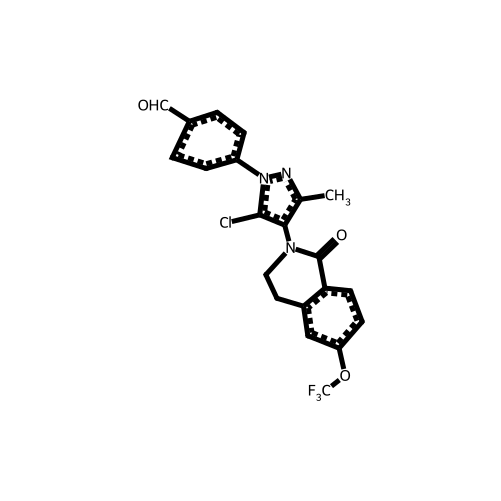 Cc1nn(-c2ccc(C=O)cc2)c(Cl)c1N1CCc2cc(OC(F)(F)F)ccc2C1=O